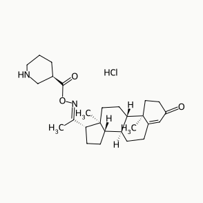 CC(=NOC(=O)[C@@H]1CCCNC1)[C@H]1CC[C@H]2[C@@H]3CCC4=CC(=O)CC[C@]4(C)[C@H]3CC[C@]12C.Cl